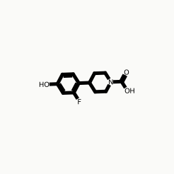 O=C(O)N1CCC(c2ccc(O)cc2F)CC1